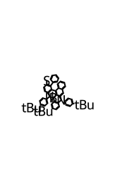 CC(C)(C)c1ccc(N2B3c4cc(C(C)(C)C)ccc4N(c4ccc(C(C)(C)C)cc4)c4cc5ccccc5c(c43)-c3c2ccc2sc4ccccc4c32)cc1